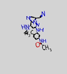 CC(=O)Nc1ccc(C)c(Nc2cc(NC3CC3)c3ncc(C#N)n3n2)c1